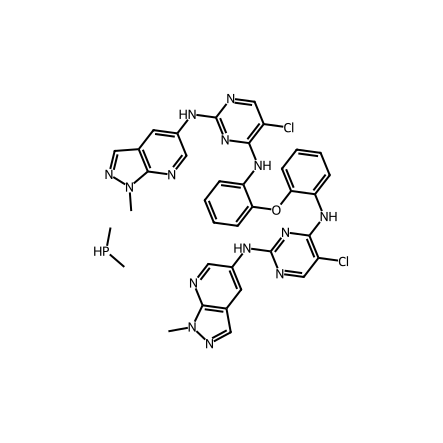 CPC.Cn1ncc2cc(Nc3ncc(Cl)c(Nc4ccccc4Oc4ccccc4Nc4nc(Nc5cnc6c(cnn6C)c5)ncc4Cl)n3)cnc21